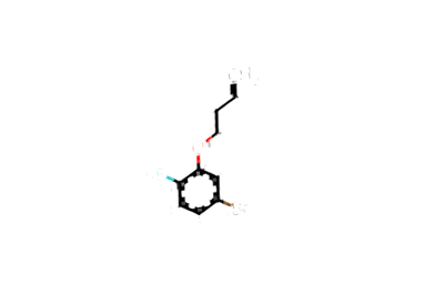 C=CCCOc1cc(Br)ccc1F